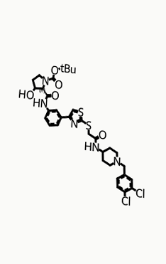 CC(C)(C)OC(=O)N1CCC(O)[C@@H]1C(=O)Nc1cccc(-c2csc(SCC(=O)NC3CCN(Cc4ccc(Cl)c(Cl)c4)CC3)n2)c1